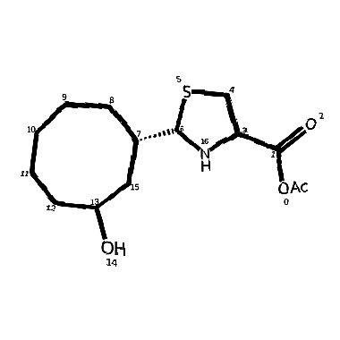 CC(=O)OC(=O)C1CSC([C@H]2CCCCCC(O)C2)N1